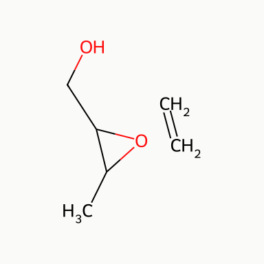 C=C.CC1OC1CO